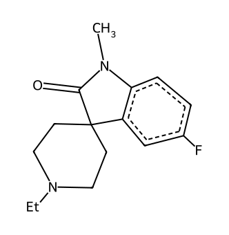 CCN1CCC2(CC1)C(=O)N(C)c1ccc(F)cc12